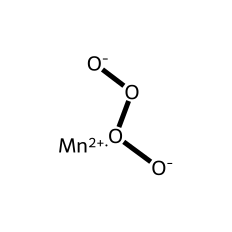 [Mn+2].[O-]OO[O-]